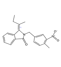 CC/C(C)=C1\c2ccccc2C(=O)N1Cc1ccc(C)c([N+](=O)[O-])c1